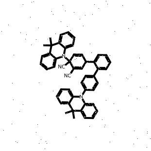 CC1(C)c2ccccc2N(c2ccc(-c3ccccc3C3C=CC(C#N)(N4c5ccccc5C(C)(C)c5ccccc54)C(C#N)=C3)cc2)c2ccccc21